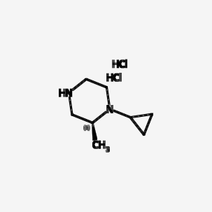 C[C@H]1CNCCN1C1CC1.Cl.Cl